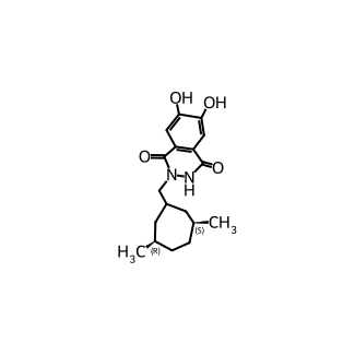 C[C@@H]1CC[C@H](C)CC(Cn2[nH]c(=O)c3cc(O)c(O)cc3c2=O)C1